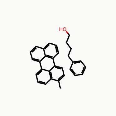 Cc1ccc2c3cccc4cccc(c5cccc1c52)c43.OCCCCc1ccccc1